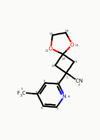 N#CC1(c2cc(C(F)(F)F)ccn2)CC2(C1)OCCO2